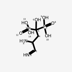 N=CC(N)CC(O)(P(=O)(O)O)P(=O)(O)O